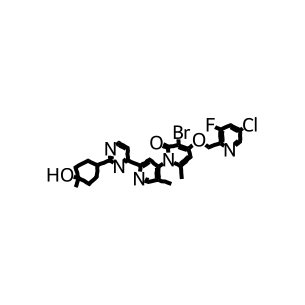 Cc1cnc(-c2ccnc(C3CCC(C)(O)CC3)n2)cc1-n1c(C)cc(OCc2ncc(Cl)cc2F)c(Br)c1=O